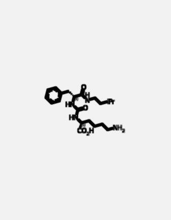 CC(C)CCNC(=O)[C@@H](Cc1ccccc1)NC(=O)N[C@@H](CCCCN)C(=O)O